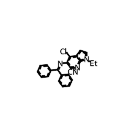 CCn1ccc2c(Cl)c(N=C(c3ccccc3)c3ccccc3)c(C#N)nc21